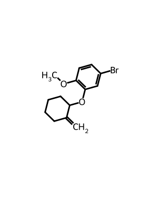 C=C1CCCCC1Oc1cc(Br)ccc1OC